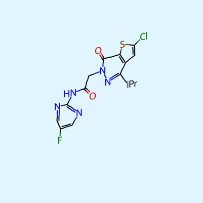 CC(C)c1nn(CC(=O)Nc2ncc(F)cn2)c(=O)c2sc(Cl)cc12